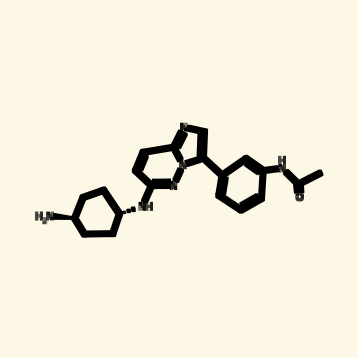 CC(=O)Nc1cccc(-c2cnc3ccc(N[C@H]4CC[C@H](N)CC4)nn23)c1